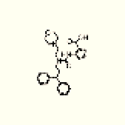 O=C(O)c1sccc1NC(=O)N(CCC(c1ccccc1)c1ccccc1)CCN1CCOCC1